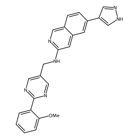 COc1ccccc1-c1ncc(CNc2cc3cc(-c4cn[nH]c4)ccc3cn2)cn1